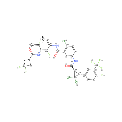 C=C(F)/C(NC(=O)C1CC(F)(F)C1)=C(F)\C(=C/C)NC(=O)c1cc(NC(=O)[C@H]2[C@H](c3ccc(F)c(C(F)(F)F)c3)C2(Cl)Cl)ccc1Cl